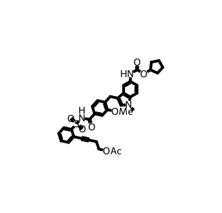 COc1cc(C(=O)NS(=O)(=O)c2ccccc2C#CCCOC(C)=O)ccc1Cc1cn(C)c2ccc(NC(=O)OC3CCCC3)cc12